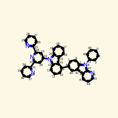 c1ccc(-n2c3ccc(-c4cccc5c4c4ccccc4n5-c4cc(-c5ccccn5)nc(-c5ccccn5)c4)cc3c3cccnc32)cc1